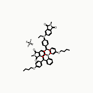 CCCCOc1ccc(C(=CC=CC(=C2C=CC(=[N+](CC)c3ccc4c(c3)C(=O)N(C)C4=O)C=C2)c2ccc(OCCCC)cc2)c2ccccc2N(CC)c2ccc3c(c2)C(=O)N(C)C3=O)cc1.F[B-](F)(F)F